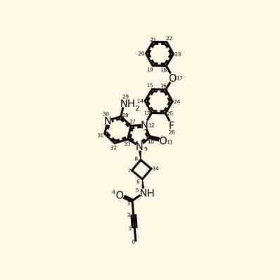 CC#CC(=O)N[C@H]1C[C@@H](n2c(=O)n(-c3ccc(Oc4ccccc4)cc3F)c3c(N)nccc32)C1